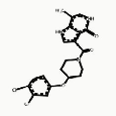 Cc1c[nH]c(=O)c2c(C(=O)N3CCC(Oc4ccc(Cl)c(Cl)c4)CC3)c[nH]c12